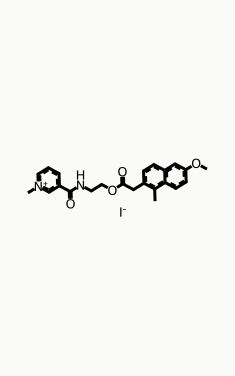 COc1ccc2c(C)c(CC(=O)OCCNC(=O)c3ccc[n+](C)c3)ccc2c1.[I-]